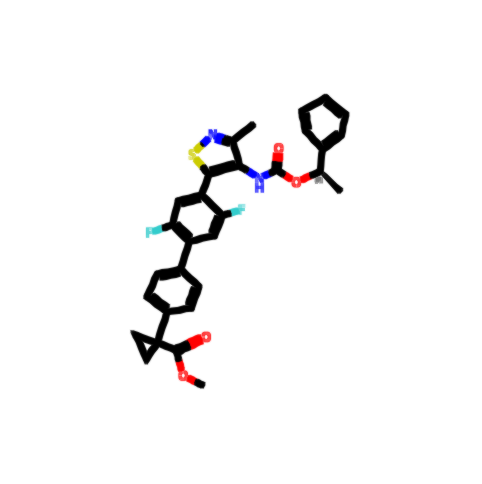 COC(=O)C1(c2ccc(-c3cc(F)c(-c4snc(C)c4NC(=O)O[C@H](C)c4ccccc4)cc3F)cc2)CC1